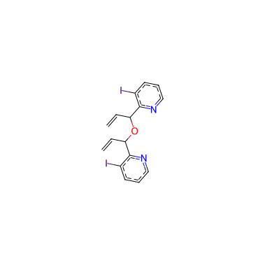 C=CC(OC(C=C)c1ncccc1I)c1ncccc1I